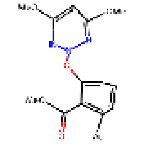 COC(=O)c1c(ON2N=C(OC)C=C(OC)N2)cccc1C(C)=O